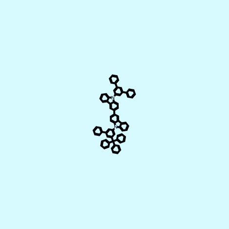 c1ccc(-c2cc(-c3ccccc3)cc(-n3c4ccccc4c4cc(-c5ccc6c(c5)c5ccccc5n6-c5cc(-c6ccccc6)cc(C(c6ccccc6)(c6ccccc6)c6ccccc6)c5)ccc43)c2)cc1